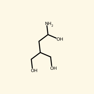 NC(O)CC(CO)CO